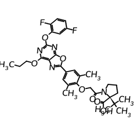 CCCOc1nc(Oc2cc(F)ccc2F)nc2oc(-c3cc(C)c(OCC(=O)N4CCC[C@@]4(C(=O)O)C(C)(C)C)c(C)c3)nc12